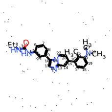 CCNC(=O)Nc1cccc(-c2cnc3cc(-c4cccc(N(C)C)c4C)ccn23)c1